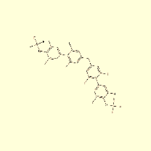 Cc1cc(-c2c(C)cc(Cc3cc(I)c(-c4cc(I)c(OC(F)(F)F)c(I)c4)c(I)c3)cc2I)cc(C)c1OC(F)(F)F